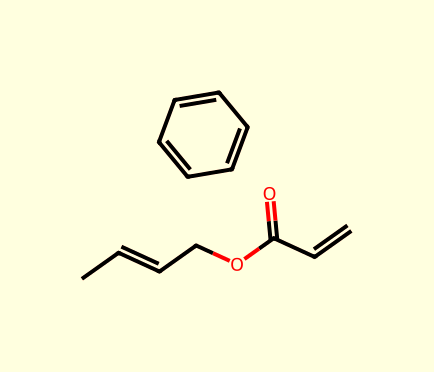 C=CC(=O)OCC=CC.c1ccccc1